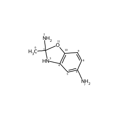 CC1(N)Nc2cc(N)ccc2O1